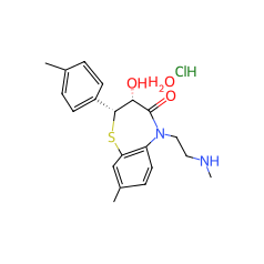 CNCCN1C(=O)[C@@H](O)[C@@H](c2ccc(C)cc2)Sc2cc(C)ccc21.Cl.O